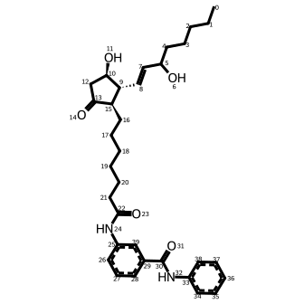 CCCCCC(O)/C=C/[C@H]1[C@H](O)CC(=O)[C@@H]1CCCCCCC(=O)Nc1cccc(C(=O)Nc2ccccc2)c1